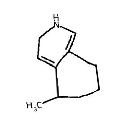 CC1CCCC2=CNCC=C21